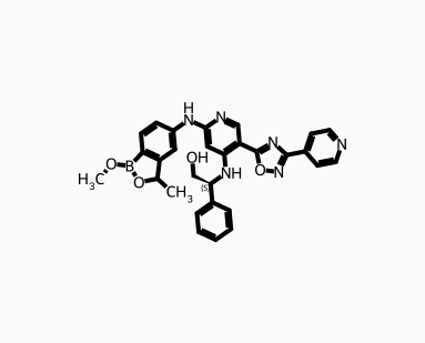 COB1OC(C)c2cc(Nc3cc(N[C@H](CO)c4ccccc4)c(-c4nc(-c5ccncc5)no4)cn3)ccc21